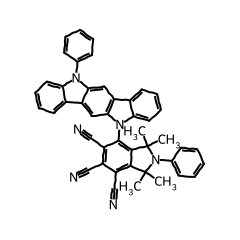 CC1(C)c2c(C#N)c(C#N)c(C#N)c(-n3c4ccccc4c4cc5c(cc43)c3ccccc3n5-c3ccccc3)c2C(C)(C)N1c1ccccc1